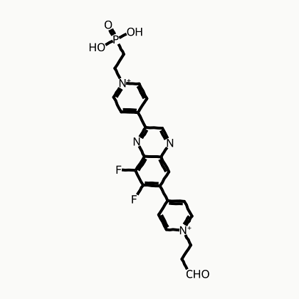 O=CCC[n+]1ccc(-c2cc3ncc(-c4cc[n+](CCP(=O)(O)O)cc4)nc3c(F)c2F)cc1